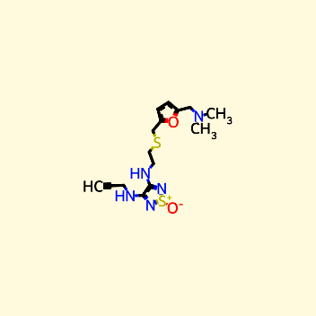 C#CCNc1n[s+]([O-])nc1NCCSCc1ccc(CN(C)C)o1